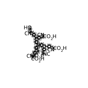 [C-]#[N+]/C(=C\c1ccc(C(=Cc2ccc(N(c3ccc(/C=C(\c4ccc(/C=C(\[N+]#[C-])C(=O)O)cc4)c4ccc(/C=C(\[N+]#[C-])OCO)cc4)cc3)c3ccc4c(c3)C(C)(C)c3cc(/C=C(\[N+]#[C-])C(=O)O)ccc3-4)cc2)c2ccc(/C=C(\[N+]#[C-])C(=O)O)cc2)cc1)C(=O)O